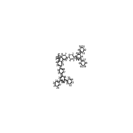 C/C=C(\C=C/Cc1ccc2c(c1)-c1cc(-c3ccc(-c4cc(-c5ccccc5)nc(-c5ccccc5)c4)cc3)ccc1C2(F)F)c1cc(-c2ccccc2)cc(-c2ccccc2)n1